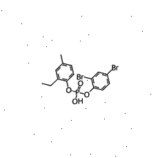 CCc1cc(C)ccc1OP(=O)(O)Oc1ccc(Br)cc1Br